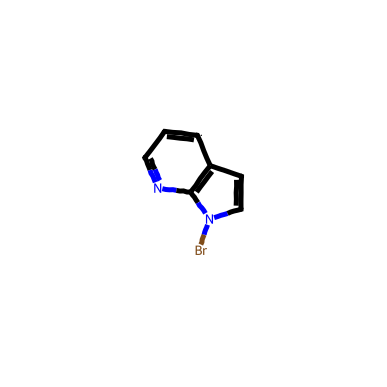 Brn1ccc2[c]ccnc21